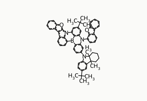 CC(C)(C)c1cc2c3c(c1)-n1c4oc5ccccc5c4c4cccc(c41)B3c1ccc(N3c4ccc(C(C)(C)C)cc4C4(C)CCCCC34C)cc1N2c1cccc2c1oc1ccccc12